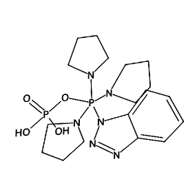 O=P(O)(O)OP(N1CCCC1)(N1CCCC1)(N1CCCC1)n1nnc2ccccc21